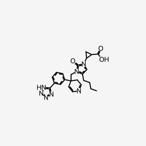 CCCCc1cn(C2CC2C(=O)O)c(=O)n1CC1(c2cccc(-c3nnn[nH]3)c2)C=CN=CC1